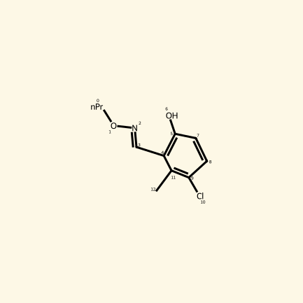 CCCON=Cc1c(O)ccc(Cl)c1C